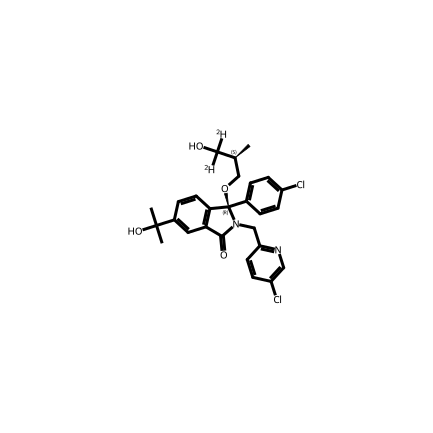 [2H]C([2H])(O)[C@@H](C)CO[C@]1(c2ccc(Cl)cc2)c2ccc(C(C)(C)O)cc2C(=O)N1Cc1ccc(Cl)cn1